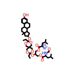 CCC1(OC(COC(=O)C(N)CC(C)C)COC(=O)C(CC(C)C)NC=O)OCC2(CO1)COC(CC)(OC1CC3C4CCc5cc(O)ccc5C4CCC3(C)C1)OC2